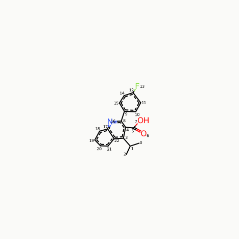 CC(C)c1c(C(=O)O)c(-c2ccc(F)cc2)nc2ccccc12